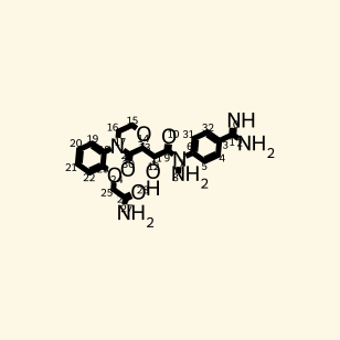 N=C(N)c1ccc(N(N)C(=O)[C@H](O)[C@H]2OCCN(c3ccccc3OCC(N)=O)C2=O)cc1